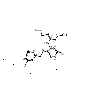 CCC/C=C(/CCO)Nc1nc(C)ncc1OCc1cccc(C)n1